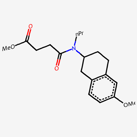 CCCN(C(=O)CCC(=O)OC)C1CCc2cc(OC)ccc2C1